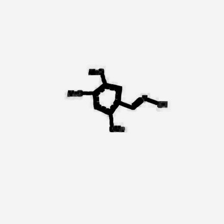 COc1cc(OC)c(OC)cc1C=NO